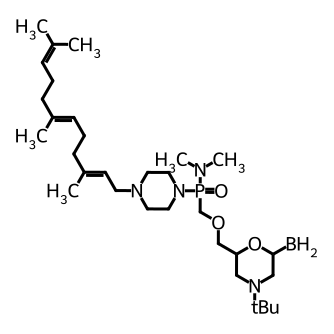 BC1CN(C(C)(C)C)CC(COCP(=O)(N(C)C)N2CCN(C/C=C(\C)CC/C=C(\C)CCC=C(C)C)CC2)O1